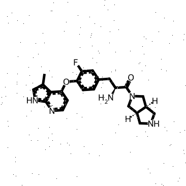 Cc1c[nH]c2nccc(Oc3ccc(C[C@H](N)C(=O)N4C[C@H]5CNC[C@H]5C4)cc3F)c12